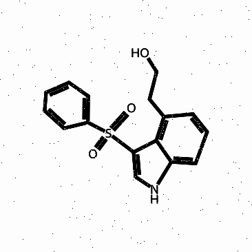 O=S(=O)(c1ccccc1)c1c[nH]c2cccc(CCO)c12